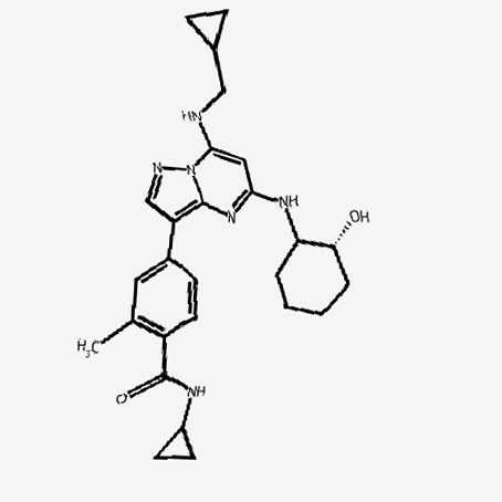 Cc1cc(-c2cnn3c(NCC4CC4)cc(NC4CCCC[C@H]4O)nc23)ccc1C(=O)NC1CC1